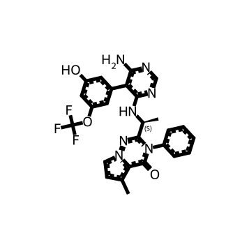 Cc1ccn2nc([C@H](C)Nc3ncnc(N)c3-c3cc(O)cc(OC(F)(F)F)c3)n(-c3ccccc3)c(=O)c12